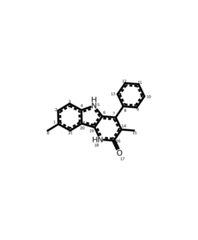 Cc1ccc2[nH]c3c(-c4ccccc4)c(C)c(=O)[nH]c3c2c1